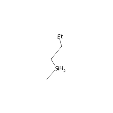 CCCC[SiH2]C